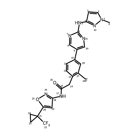 Cn1ccc(Nc2ncc(-c3ccc(CC(=O)Nc4cc(C5(C(F)(F)F)CC5)on4)c(F)c3)cn2)n1